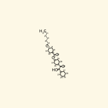 CCCCCCOc1ccc(C(=O)Oc2ccc(C(=O)C(O)c3ccccc3)cc2)cc1